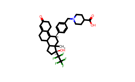 CC12C[C@H](c3ccc(CN4CCC(C(=O)O)CC4)cc3)C3=C4CCC(=O)C=C4CCC3C1CC[C@@]2(O)C(F)(F)C(F)(F)F